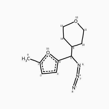 Cc1ccc(C(N=[N+]=[N-])C2CCOCC2)o1